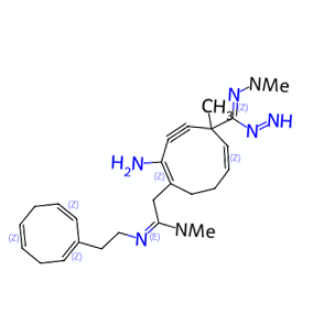 CN/N=C(\N=N)C1(C)C#C/C(N)=C(/C/C(=N\CCC2=C/C/C=C\C/C=C\2)NC)CC/C=C\1